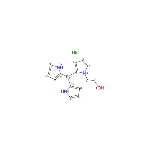 Br.OCCn1cccc1P(c1ccc[nH]1)c1ccc[nH]1